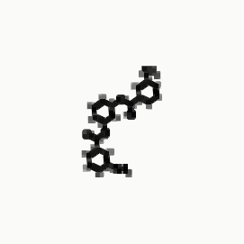 Nc1cccc(C(=O)Oc2cccc(OC(=O)c3cccc(N)c3)c2)c1